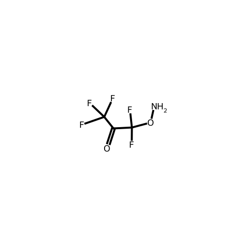 NOC(F)(F)C(=O)C(F)(F)F